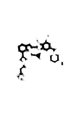 CC[C@@H]1CCCN(C(=O)c2cc(OC)c3c(c2)nc(-c2cc4cccc(C5CN(C(=O)Cc6nnn[nH]6)C5)c4n2CC2CC2)n3C)C1